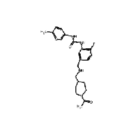 CC(=O)N1CCC(CNCc2ccc(F)c(NC(=O)Nc3ccc(C)nc3)c2)CC1